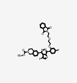 CC(C)(C)OC(=O)N1CCc2cc(-c3nnc(-c4ccc(F)cc4OCCOCCN4C(=O)c5ccccc5C4=O)c4scc(F)c34)ccc2C1